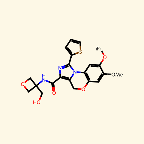 COc1cc2c(cc1OC(C)C)-n1c(-c3cccs3)nc(C(=O)NC3(CO)COC3)c1CO2